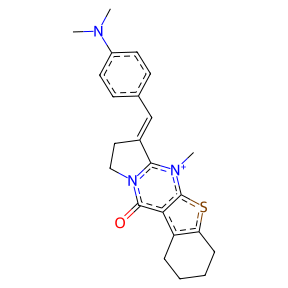 CN(C)c1ccc(/C=C2\CCn3c2[n+](C)c2sc4c(c2c3=O)CCCC4)cc1